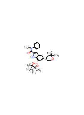 CN(C(=O)c1cc2cc([C@H]3CCOC(C)(C)C3)cc(B3OC(C)(C)C(C)(C)O3)c2[nH]1)c1ccccc1